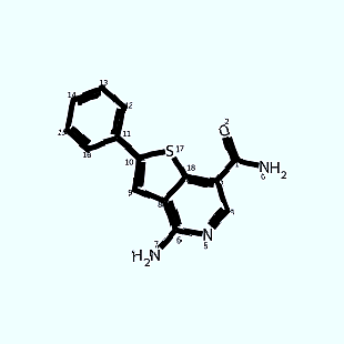 NC(=O)c1cnc(N)c2cc(-c3ccccc3)sc12